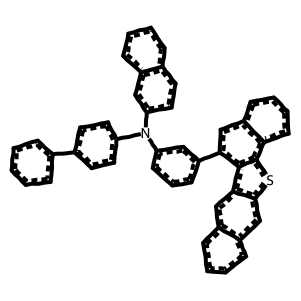 c1ccc(-c2ccc(N(c3cccc(-c4cc5ccccc5c5sc6cc7ccccc7cc6c45)c3)c3ccc4ccccc4c3)cc2)cc1